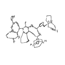 Oc1cc(-c2c3c(c4c(N5C[C@H]6CC[C@@H](C5)N6)nc(OC[C@@]56CCCN5C[C@H](F)C6)nc4c2F)CCC3)c2c(F)c(F)ccc2c1